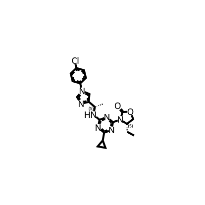 CC[C@H]1COC(=O)N1c1nc(N[C@@H](C)c2cn(-c3ccc(Cl)cc3)cn2)nc(C2CC2)n1